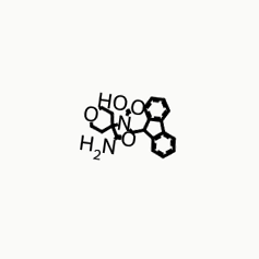 NC(=O)C1(N(CC2c3ccccc3-c3ccccc32)C(=O)O)CCOCC1